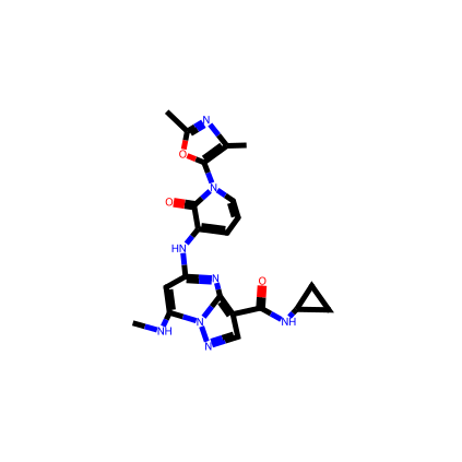 CNc1cc(Nc2cccn(-c3oc(C)nc3C)c2=O)nc2c(C(=O)NC3CC3)cnn12